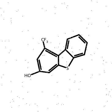 Oc1cc(C(F)(F)F)c2c(c1)sc1ccccc12